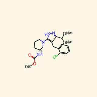 COC(OC)c1n[nH]c(N2CCC[C@@H](NC(=O)OC(C)(C)C)C2)c1Cc1ccccc1Cl